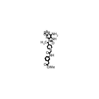 CCCCOc1nc(N)c2[nH]c(=O)n(C(C)C3CCN(CC(=O)Nc4cccc(CC(=O)OC)c4)CC3)c2n1